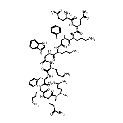 CC(=O)[C@H](CCC(N)N)NC(=O)[C@H](CCC(N)=O)NC(=O)[C@H](CCCN)NC(=O)[C@H](Cc1ccccc1)NC(=O)[C@H](CCCN)NC(=O)[C@H](Cc1c[nH]c2ccccc12)NC(=O)[C@H](CCCN)NC(=O)[C@H](Cc1ccccc1)NC(=O)[C@H](CCCN)NC(=O)[C@H](CCC(N)=O)NC(=O)[C@@H](N)CCC(N)=O